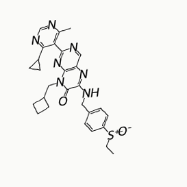 CC[S+]([O-])c1ccc(CNc2nc3cnc(-c4c(C)ncnc4C4CC4)nc3n(CC3CCC3)c2=O)cc1